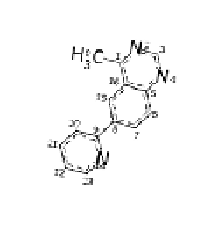 Cc1ncnc2ccc(-c3ccccn3)cc12